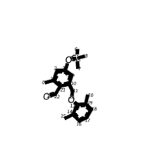 Cc1cc(O[Si](C)(C)C)cc(COc2c(C)cccc2C)c1C=O